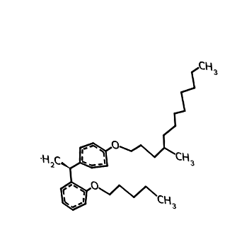 [CH2][C@@H](c1ccc(OCCCC(C)CCCCCCCC)cc1)c1ccccc1OCCCCC